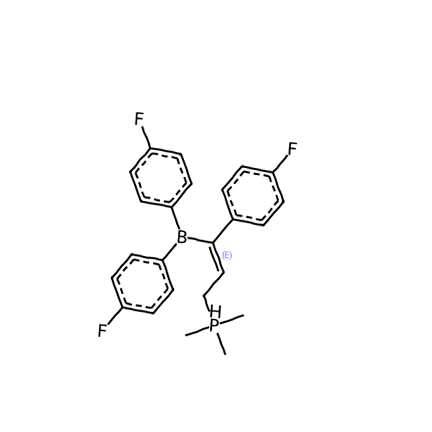 C[PH](C)(C)C/C=C(\B(c1ccc(F)cc1)c1ccc(F)cc1)c1ccc(F)cc1